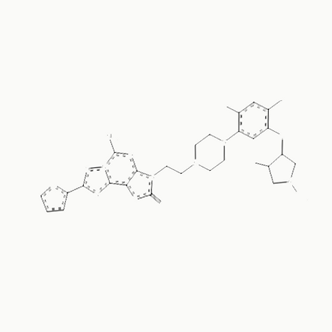 Nc1nc2c(sc(=O)n2CCN2CCN(c3cc(OC4CN(C(=O)O)CC4F)c(F)cc3F)CC2)c2nc(-c3ccco3)nn12